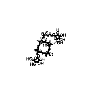 CCC1=C(C)c2cc3[nH]c(cc4nc(c(C)c5cc(C)c(cc1n2)[nH]5)[C@@H](CCC(=O)N(C)CCCO[C@@H]1O[C@H](CO)[C@@H](O)[C@H](O)[C@H]1O)[C@@H]4C)c(C)c3CO[C@@H]1O[C@H](CO)[C@@H](O)[C@H](O)[C@H]1O